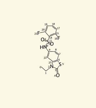 CCn1c(=O)sc2ccc(NS(=O)(=O)c3c(F)cccc3F)cc21